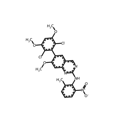 COc1cc2nc(Nc3c(C)cccc3[N+](=O)[O-])ncc2cc1-c1c(Cl)c(OC)cc(OC)c1Cl